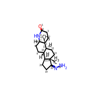 C[C@]12CCC(=O)N[C@@H]1CC[C@@H]1[C@@H]2CC[C@]2(C)/C(=N\N)CC[C@@H]12